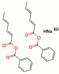 C/C=C/C=C/C(=O)OC(=O)c1ccccc1.C/C=C/C=C/C(=O)OC(=O)c1ccccc1.[KH].[NaH]